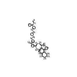 C=CC(=O)OCCOCCOC(C)OC1=CC=C(F)c2c(sc3ccccc3c2=O)C1